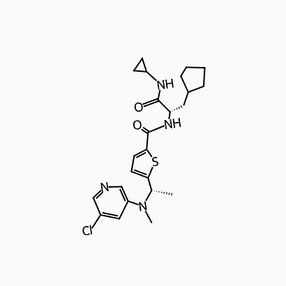 C[C@@H](c1ccc(C(=O)N[C@@H](CC2CCCC2)C(=O)NC2CC2)s1)N(C)c1cncc(Cl)c1